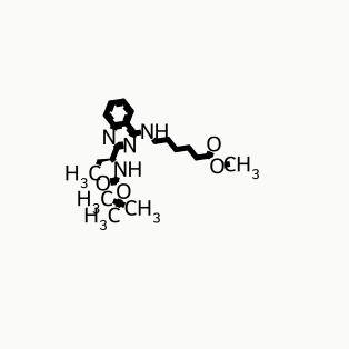 CC[C@H](NC(=O)OC(C)(C)C)c1nc(NCCCCCC(=O)OC)c2ccccc2n1